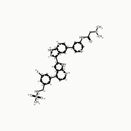 CN(C)CC(=O)Nc1cncc(-c2cnc3[nH]nc(-c4cc5c(-c6cc(F)cc(CNS(C)(=O)=O)c6)ccnc5[nH]4)c3c2)c1